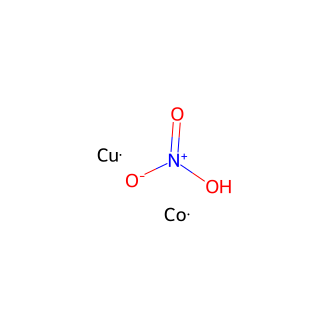 O=[N+]([O-])O.[Co].[Cu]